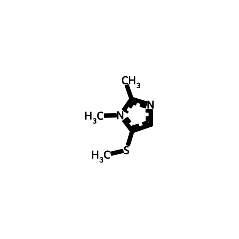 CSc1cnc(C)n1C